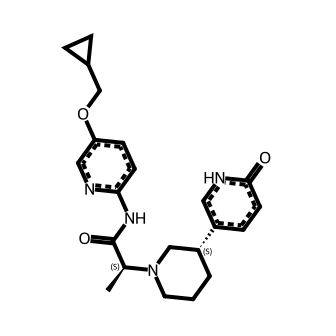 C[C@@H](C(=O)Nc1ccc(OCC2CC2)cn1)N1CCC[C@@H](c2ccc(=O)[nH]c2)C1